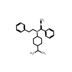 C=C=C(c1ccccc1)N(CCc1ccccc1)C1CCC(C(C)C)CC1